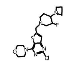 FC1CN(Cc2cc3nc(Cl)nc(N4CCOCC4)c3s2)CCC1N1CCC1